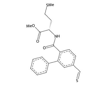 COC(=O)[C@H](CCSC)NC(=O)c1ccc(C=S)cc1-c1ccccc1